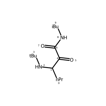 CCCC(NC(C)(C)C)C(=O)C(=O)NC(C)CC